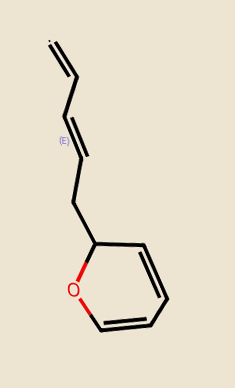 [CH]=C/C=C/CC1C=CC=CO1